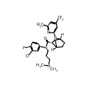 Cc1cc(C(F)(F)F)cc(N2[C@@H]3CC[C@@H](C3)[C@H]2C(=O)N(CCCN(C)C)c2ccc(F)c(Cl)c2)n1